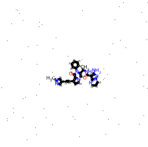 CC(NC(=O)c1c(N)nn2cccnc12)c1cn2ccc(C#Cc3cnn(C)c3)c2c(=O)n1-c1ccccc1